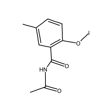 CC(=O)NC(=O)c1cc(C)ccc1OI